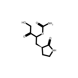 NC(=O)OC(C[C@@H]1CCNC1=O)C(=O)CO